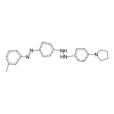 Cc1cccc(/N=N/c2ccc(NNc3ccc(N4CCCC4)cc3)cc2)c1